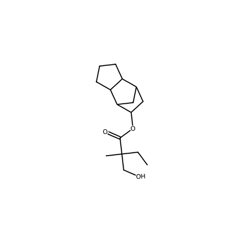 CCC(C)(CO)C(=O)OC1CC2CC1C1CCCC21